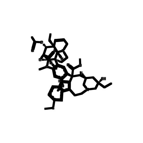 CC[C@]1(O)C[C@H]2CN(CCc3c([nH]c4ccc(SC)cc34)[C@@](C(=O)OC)(c3cc4c(cc3OC)N(C)[C@@]35O[C@]3(C(=O)OC)[C@H](OC(C)=O)[C@]3(CC)C=CCN6CC[C@]45[C@@H]63)C2)C1